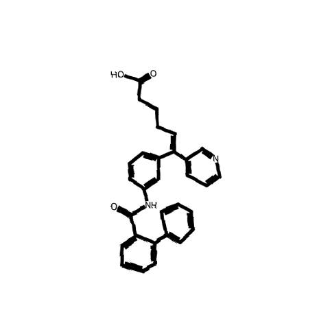 O=C(O)CCCC=C(c1cccnc1)c1cccc(NC(=O)c2ccccc2-c2ccccc2)c1